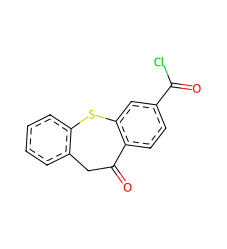 O=C(Cl)c1ccc2c(c1)Sc1ccccc1CC2=O